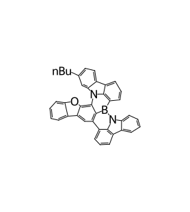 CCCCc1ccc2c3cccc4c3n(c2c1)-c1c2c(cc3c1oc1ccccc13)-c1cccc3c5ccccc5n(c13)B24